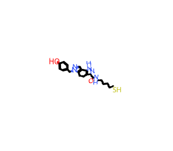 O=C(NCCCCCCS)c1n[nH]c2c1CCc1c-2cnn1Cc1ccc(O)cc1